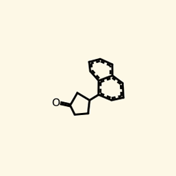 O=C1CCC(c2cccc3ccccc23)C1